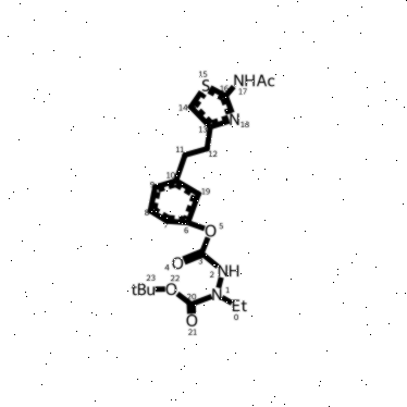 CCN(NC(=O)Oc1cccc(CCc2csc(NC(C)=O)n2)c1)C(=O)OC(C)(C)C